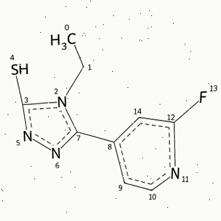 CCn1c(S)nnc1-c1ccnc(F)c1